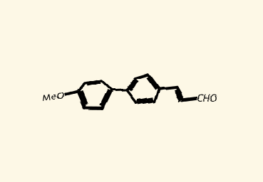 COc1ccc(-c2ccc(C=CC=O)cc2)cc1